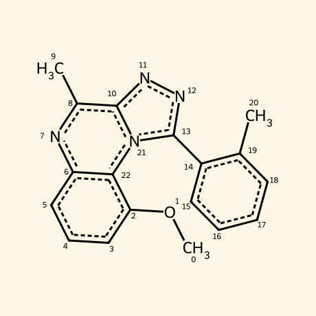 COc1cccc2nc(C)c3nnc(-c4ccccc4C)n3c12